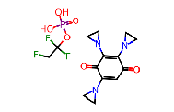 O=C1C=C(N2CC2)C(=O)C(N2CC2)=C1N1CC1.O=P(O)(O)OC(F)(F)CF